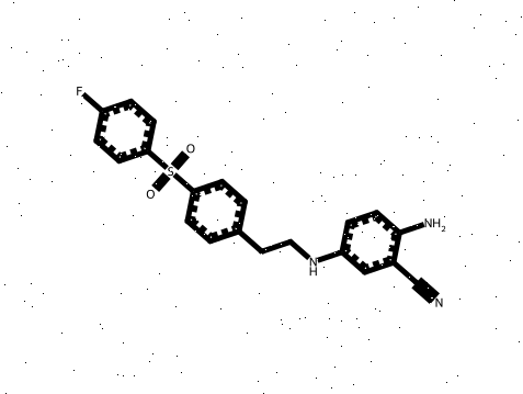 N#Cc1cc(NCCc2ccc(S(=O)(=O)c3ccc(F)cc3)cc2)ccc1N